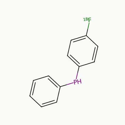 [18F]c1ccc(Pc2ccccc2)cc1